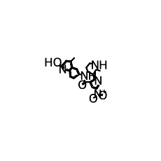 Cc1cc(O)nc2ccc(NC(=O)c3cc([N+](=O)[O-])cnc3C3CCCNC3C)cc12